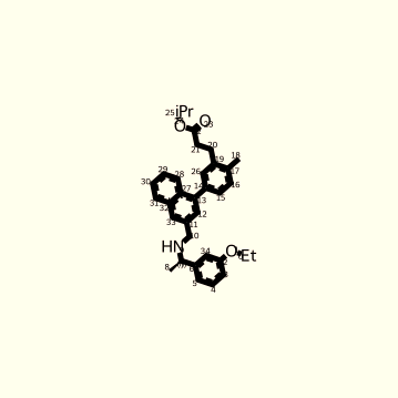 CCOc1cccc([C@@H](C)NCc2cc(-c3ccc(C)c(CCC(=O)OC(C)C)c3)c3ccccc3c2)c1